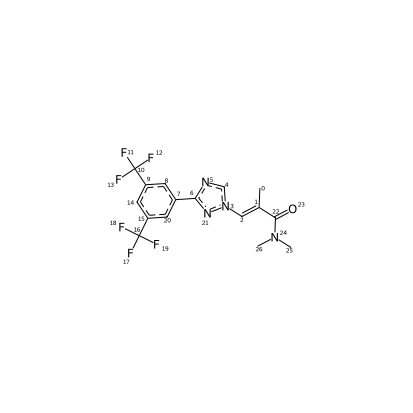 C/C(=C\n1cnc(-c2cc(C(F)(F)F)cc(C(F)(F)F)c2)n1)C(=O)N(C)C